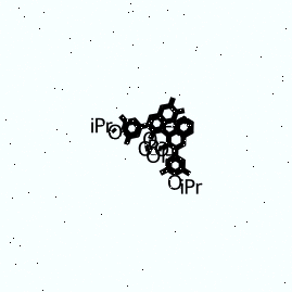 Cc1cc(-c2cc3c(c4c2OP(=O)(O)OC2C(c5cc(C)c(OC(C)C)c(C)c5)Cc5ccccc5[C@H]42)CC(C)C(C)C3)cc(C)c1OC(C)C